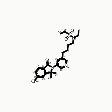 CCN(CCCCc1cncc(N2C(=O)c3ccc(Cl)cc3C2(C)C)c1)S(=O)(=O)CC